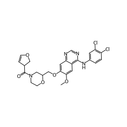 COc1cc2c(Nc3ccc(Cl)c(Cl)c3)ncnc2cc1OCC1CN(C(=O)C2C=COC2)CCO1